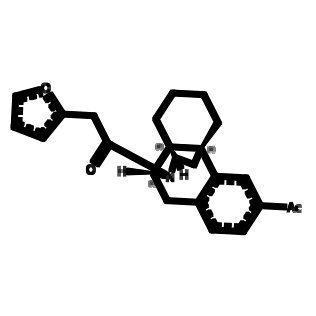 CC(=O)c1ccc2c(c1)[C@@]13CCCC[C@H]1[C@@H](C2)N(C(=O)Cc1ccco1)CC3